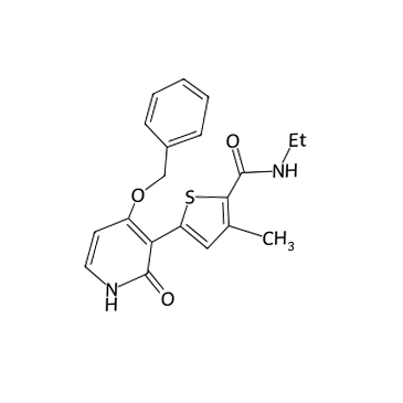 CCNC(=O)c1sc(-c2c(OCc3ccccc3)cc[nH]c2=O)cc1C